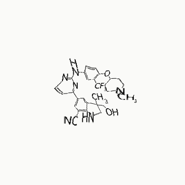 CN1CCC(Oc2ccc(Nc3nccc(-c4cc(C#N)c5c(c4)C(C)(CO)CN5)n3)cc2C(F)(F)F)CC1